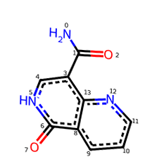 NC(=O)c1c[nH]c(=O)c2cccnc12